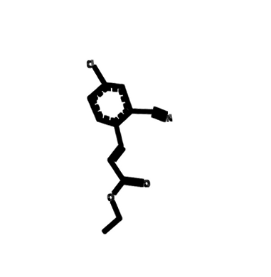 CCOC(=O)C=Cc1ccc(Cl)cc1C#N